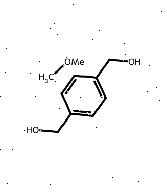 COC.OCc1ccc(CO)cc1